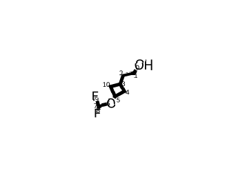 OCCC1CC(OC(F)F)C1